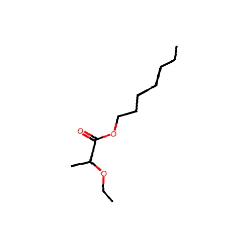 CCCCCCCOC(=O)C(C)OCC